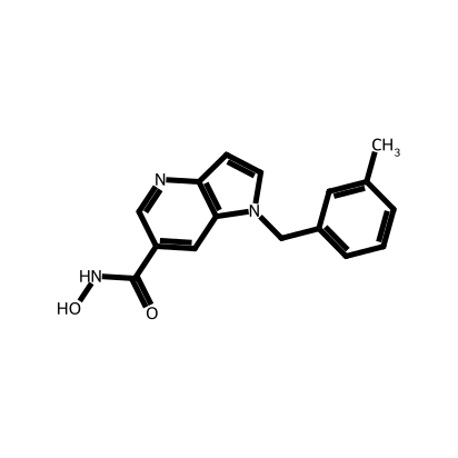 Cc1cccc(Cn2ccc3ncc(C(=O)NO)cc32)c1